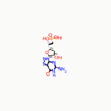 Nc1nc2c(nnn2[C@@H]2O[C@H](/C=C/P(=O)(O)O)C[C@H]2O)c(=O)[nH]1